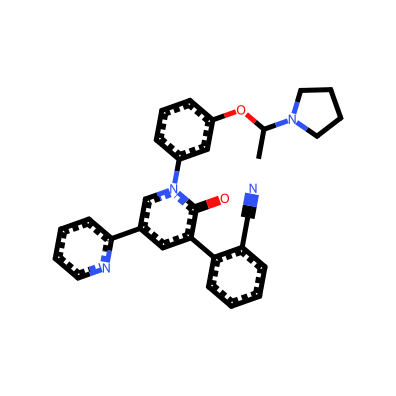 CC(Oc1cccc(-n2cc(-c3ccccn3)cc(-c3ccccc3C#N)c2=O)c1)N1CCCC1